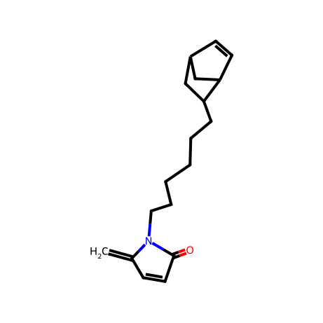 C=C1C=CC(=O)N1CCCCCCC1CC2C=CC1C2